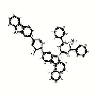 CCC1C=C(c2ccc3c(c2)oc2ccccc23)C=CC1c1ccc2c3c4ccccc4ccc3n(C3=NC(c4ccccc4)N(C)C(c4ccccc4)=N3)c2c1